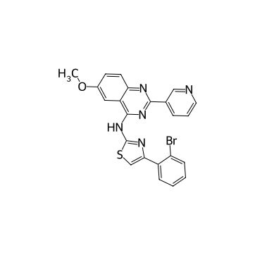 COc1ccc2nc(-c3cccnc3)nc(Nc3nc(-c4ccccc4Br)cs3)c2c1